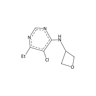 CCc1ncnc(NC2COC2)c1Cl